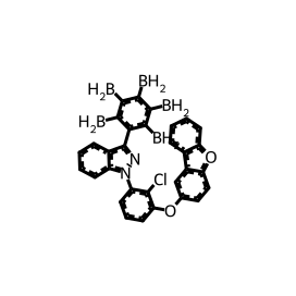 Bc1c(B)c(B)c(-c2nn(-c3cccc(Oc4ccc5oc6ccccc6c5c4)c3Cl)c3ccccc23)c(B)c1B